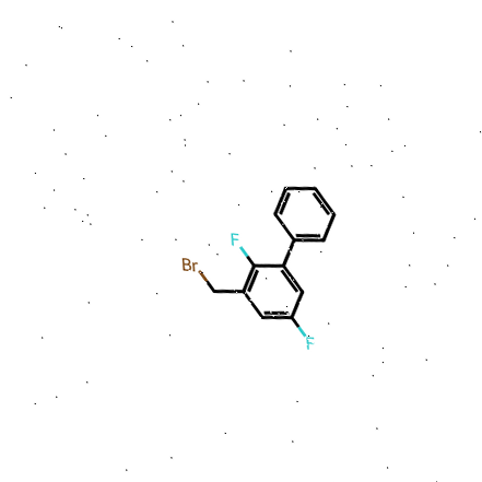 Fc1cc(CBr)c(F)c(-c2ccccc2)c1